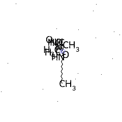 CCCCCCCCCCCNC(=O)/C(C)=C/[C@H](C(C)C)N(C)C(=O)CNC=O